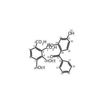 CCCCCCCCc1ccc(C(=O)O)c(C(=O)O)c1CCCCCCCC.O=C(c1ccccc1)c1ccc(O)cc1O